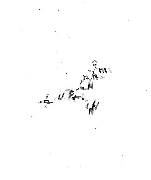 CC1C(=O)NCCN1c1ncc2c(n1)c(-c1cnn(C)c1)nn2COCC[Si](C)(C)C